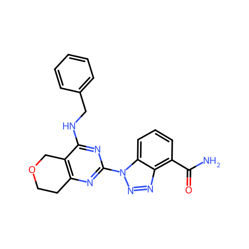 NC(=O)c1cccc2c1nnn2-c1nc2c(c(NCc3ccccc3)n1)COCC2